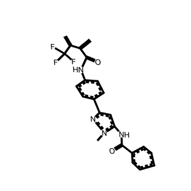 C=C(C(=C)C(F)(F)F)C(=O)Nc1ccc(-c2cc(NC(=O)c3ccccc3)n(C)n2)cc1